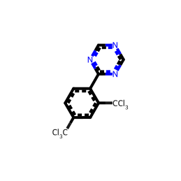 ClC(Cl)(Cl)c1ccc(-c2ncncn2)c(C(Cl)(Cl)Cl)c1